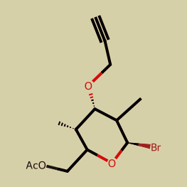 C#CCO[C@@H]1C(C)[C@@H](Br)OC(COC(C)=O)[C@@H]1C